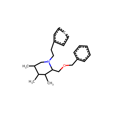 CC1CN(CCc2ccccc2)C(COCc2ccccc2)C(C)C1C